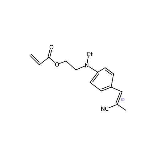 C=CC(=O)OCCN(CC)c1ccc(/C=C(/C)C#N)cc1